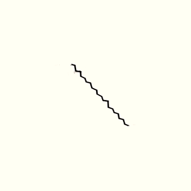 CC(C)CCCCCCCCCCCCCCCCCC(=O)[C@H](O)CS(=O)(=O)O